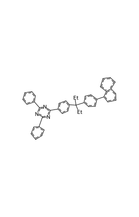 CCC(CC)(c1ccc(-c2nc(-c3ccccc3)nc(-c3ccccc3)n2)cc1)c1ccc(-c2cccc3ccccc23)cc1